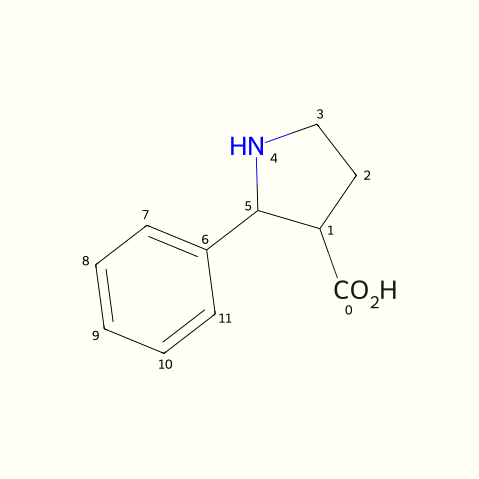 O=C(O)C1CCNC1c1ccccc1